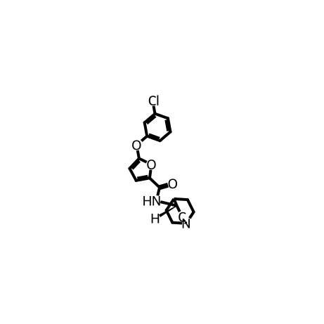 O=C(N[C@H]1CN2CCC1CC2)c1ccc(Oc2cccc(Cl)c2)o1